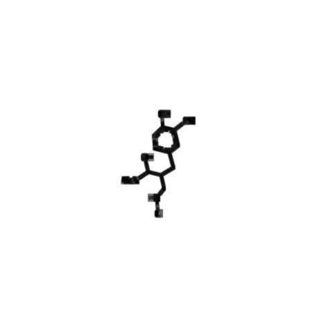 CNC(O)C(CNCl)Cc1ccc(O)c(O)c1